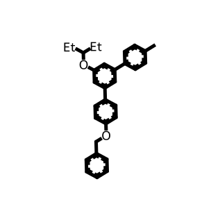 CCC(CC)Oc1cc(-c2ccc(C)cc2)cc(-c2ccc(OCc3ccccc3)cc2)c1